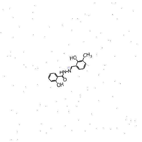 Cc1cccc(/C=N/NC(=O)c2ccccc2O)c1O